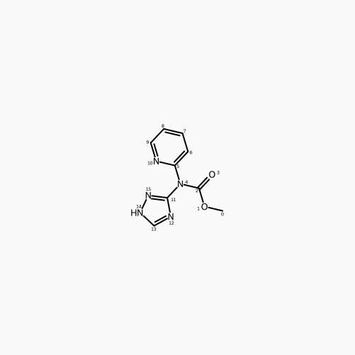 COC(=O)N(c1ccccn1)c1nc[nH]n1